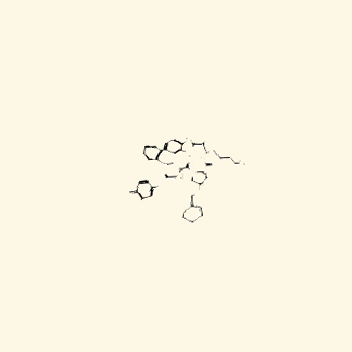 NCCCC[C@H](NC(=O)[C@@H]1C[C@@H](OCC2CCCCC2)CN1C(=O)[C@@H](CCc1ccccc1)NC(=O)Oc1ccc(Cl)cc1)C(=O)c1nc2ccccc2o1